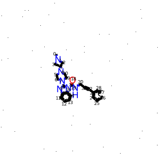 CN1CC(N2CCN(c3nc4ccccc4n3C(=O)NCC#Cc3ccccc3)CC2)C1